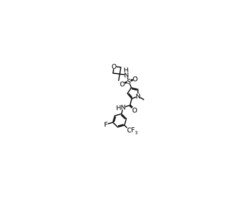 Cn1cc(S(=O)(=O)NC2(C)COC2)cc1C(=O)Nc1cc(F)cc(C(F)(F)F)c1